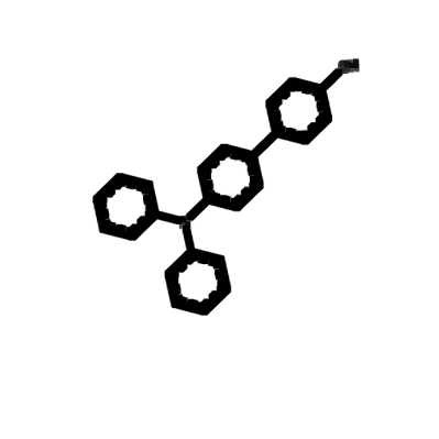 Oc1ccc(-c2ccc(N(c3ccccc3)c3ccccc3)cc2)cc1